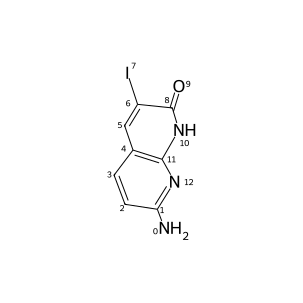 Nc1ccc2cc(I)c(=O)[nH]c2n1